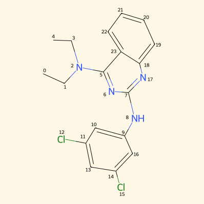 CCN(CC)c1nc(Nc2cc(Cl)cc(Cl)c2)nc2ccccc12